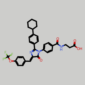 O=C(O)CCNC(=O)c1ccc(N2C(=O)C(=Cc3ccc(OC(F)(F)F)cc3)N=C2c2ccc(C3CCCCC3)cc2)cc1